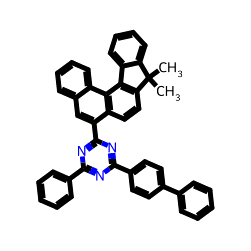 CC1(C)c2ccccc2-c2c1ccc1c(-c3nc(-c4ccccc4)nc(-c4ccc(-c5ccccc5)cc4)n3)cc3ccccc3c21